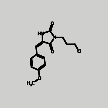 COc1ccc(/C=C2/NC(=O)N(CCCCl)C2=O)cc1